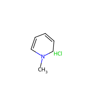 CN1C=CC=CC1.Cl